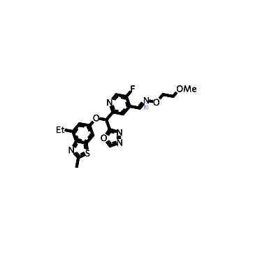 CCc1cc(OC(c2cc(/C=N/OCCOC)c(F)cn2)c2nnco2)cc2sc(C)nc12